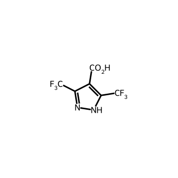 O=C(O)c1c(C(F)(F)F)n[nH]c1C(F)(F)F